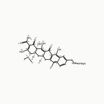 CCCCCCCNCc1ccc2c(F)c3c(c(O)c2c1)C(=O)C1=C(O)[C@]2(O)C(=O)C(C(N)=O)=C(O)[C@@H](N(C)C)[C@@H]2C[C@@H]1C3